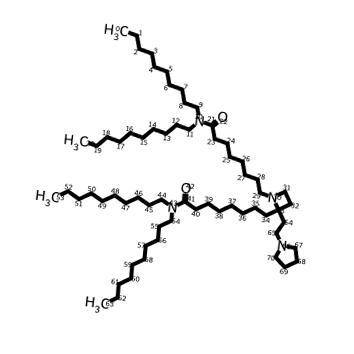 CCCCCCCCCCN(CCCCCCCCCC)C(=O)CCCCCCCN1CCC1(CCCCCCCC(=O)N(CCCCCCCCCC)CCCCCCCCCC)CCN1CCCC1